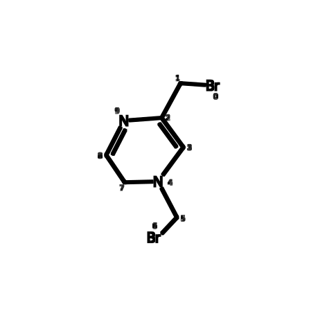 BrCC1=CN(CBr)CC=N1